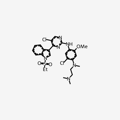 CCS(=O)(=O)n1cc(-c2nc(Nc3cc(Cl)c(N(C)CCN(C)C)cc3OC)ncc2Cl)c2ccccc21